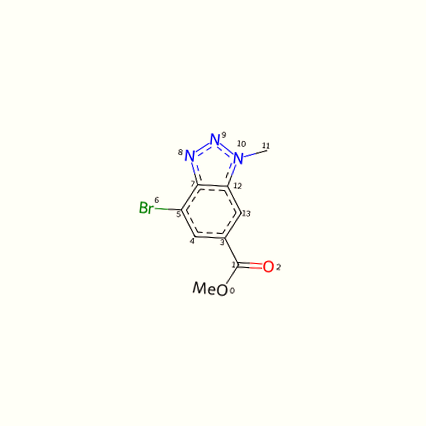 COC(=O)c1cc(Br)c2nnn(C)c2c1